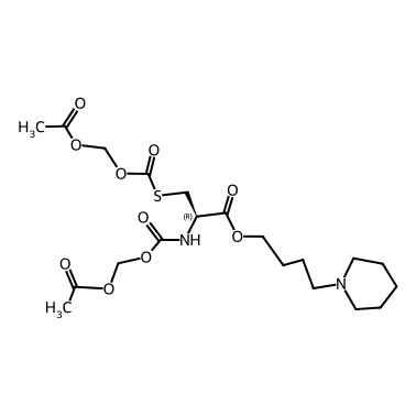 CC(=O)OCOC(=O)N[C@@H](CSC(=O)OCOC(C)=O)C(=O)OCCCCN1CCCCC1